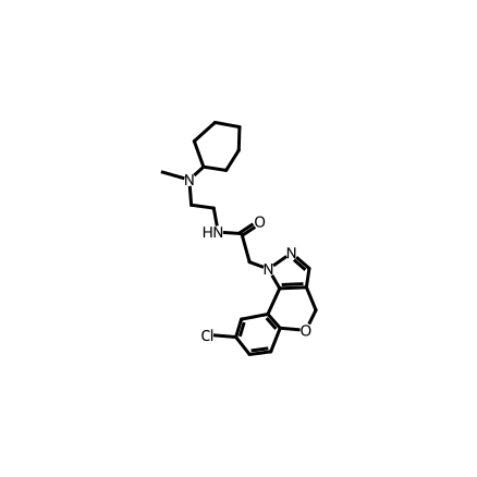 CN(CCNC(=O)Cn1ncc2c1-c1cc(Cl)ccc1OC2)C1CCCCC1